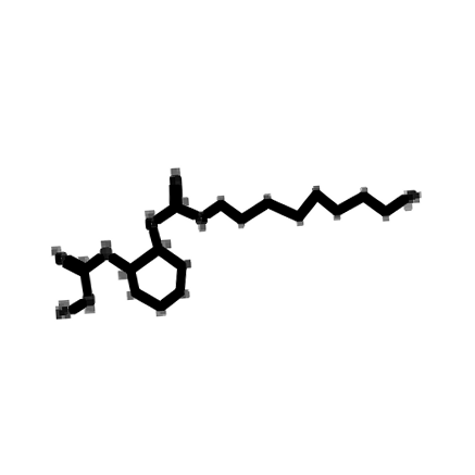 CC(C)CCCCCCCCOC(=O)OC1CCCCC1OC(=O)OC(C)C